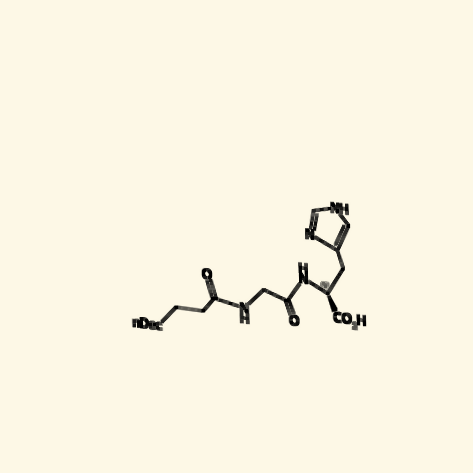 CCCCCCCCCCCCC(=O)NCC(=O)N[C@@H](Cc1c[nH]cn1)C(=O)O